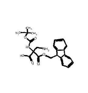 CC(C)(C)OC(=O)NC(CN)(C(=O)O)C(=O)OCC1c2ccccc2-c2ccccc21